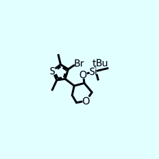 Cc1sc(C)c(C2CCOCC2O[Si](C)(C)C(C)(C)C)c1Br